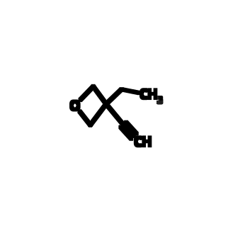 C#CC1(CC)COC1